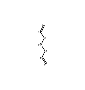 C=CC[P]CC=C